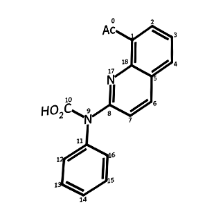 CC(=O)c1cccc2ccc(N(C(=O)O)c3ccccc3)nc12